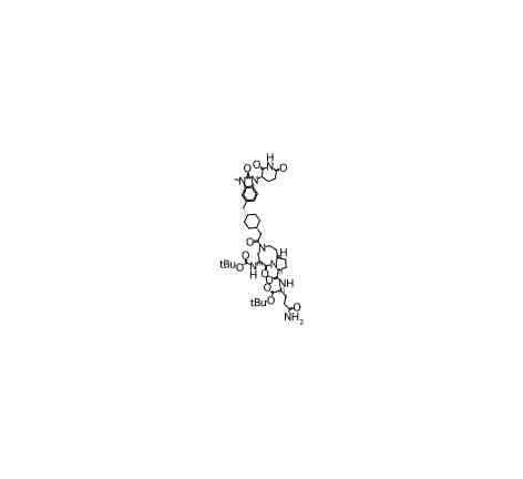 Cn1c(=O)n(C2CCC(=O)NC2=O)c2ccc(C[C@H]3CC[C@H](CC(=O)N4CC[C@H]5CC[C@@H](C(=O)N[C@@H](CCC(N)=O)C(=O)OC(C)(C)C)N5C(=O)[C@@H](NC(=O)OC(C)(C)C)C4)CC3)cc21